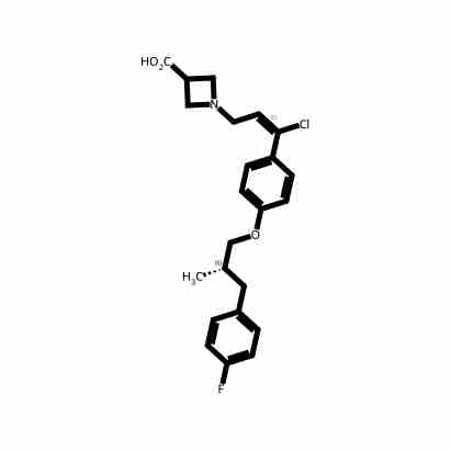 C[C@H](COc1ccc(/C(Cl)=C\CN2CC(C(=O)O)C2)cc1)Cc1ccc(F)cc1